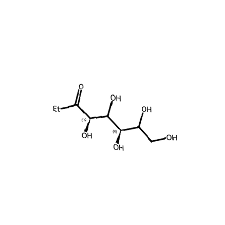 CCC(=O)[C@H](O)C(O)[C@H](O)C(O)CO